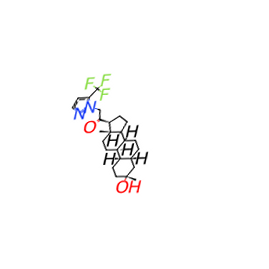 C[C@@]1(O)CC[C@H]2[C@H](CC[C@@H]3[C@@H]2CC[C@]2(C)[C@@H](C(=O)Cn4nccc4C(F)(F)F)CC[C@@H]32)C1